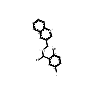 CCC(NCc1cnc2ccccc2c1)c1cc(F)ccc1O